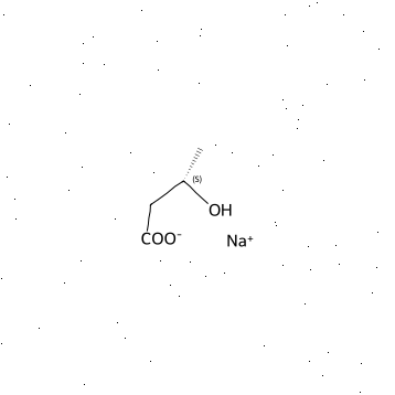 C[C@H](O)CC(=O)[O-].[Na+]